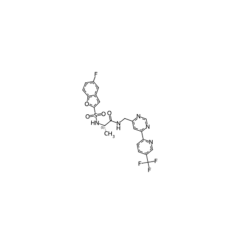 C[C@H](NS(=O)(=O)c1cc2cc(F)ccc2o1)C(=O)NCc1cc(-c2ccc(C(F)(F)F)cn2)ncn1